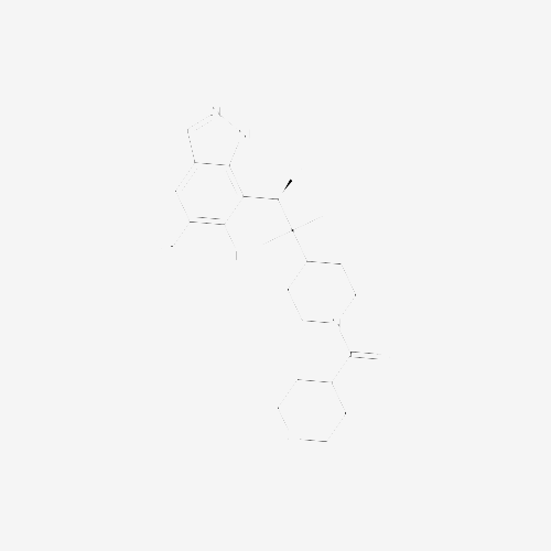 CC(C)(C1CCN(C(=O)C2CCOCC2)CC1)[C@H](O)c1c(F)c(Cl)cc2cn[nH]c12